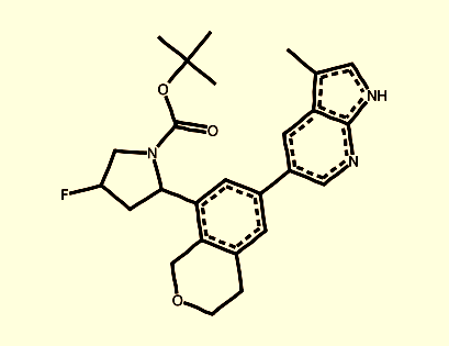 Cc1c[nH]c2ncc(-c3cc4c(c(C5CC(F)CN5C(=O)OC(C)(C)C)c3)COCC4)cc12